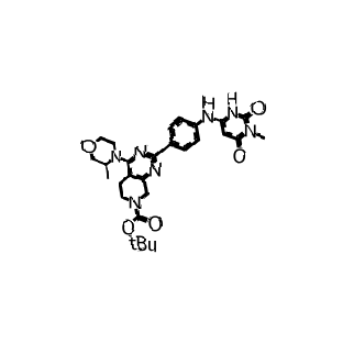 C[C@H]1COCCN1c1nc(-c2ccc(Nc3cc(=O)n(C)c(=O)[nH]3)cc2)nc2c1CCN(C(=O)OC(C)(C)C)C2